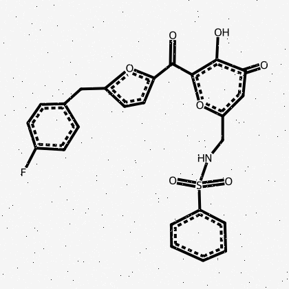 O=C(c1ccc(Cc2ccc(F)cc2)o1)c1oc(CNS(=O)(=O)c2ccccc2)cc(=O)c1O